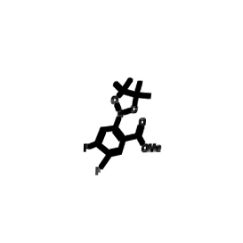 COC(=O)c1cc(F)c(F)cc1B1OC(C)(C)C(C)(C)O1